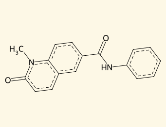 Cn1c(=O)ccc2cc(C(=O)Nc3ccccc3)ccc21